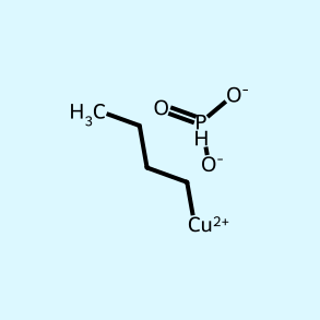 CCC[CH2][Cu+2].O=[PH]([O-])[O-]